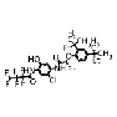 CCC(Oc1ccc(C(C)(C)CC)cc1C(C)(C)CC)C(=O)Nc1cc(O)c(NC(=O)C(F)(F)C(F)(F)C(F)F)cc1Cl